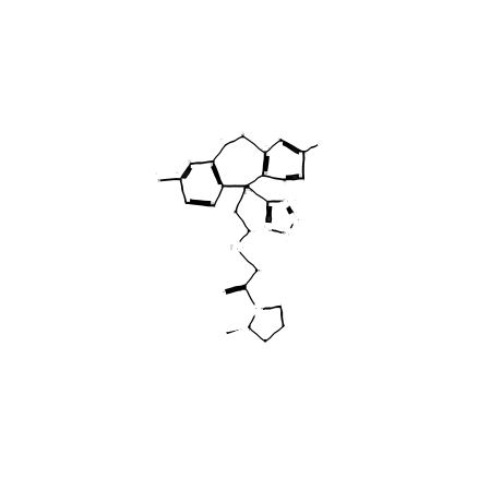 C[C@@H]1CCCN1C(=O)CNCCC1(c2nn[nH]n2)c2ccc(Cl)cc2CCc2cc(Cl)ccc21